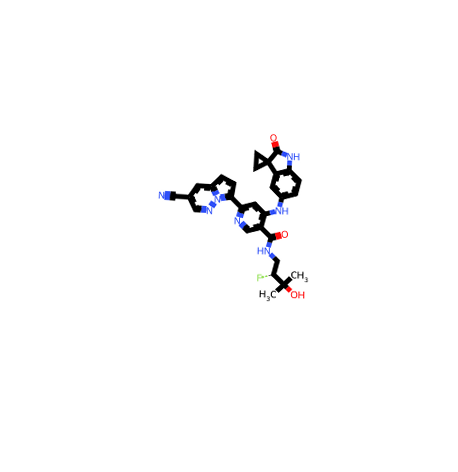 CC(C)(O)[C@H](F)CNC(=O)c1cnc(-c2ccc3cc(C#N)cnn23)cc1Nc1ccc2c(c1)C1(CC1)C(=O)N2